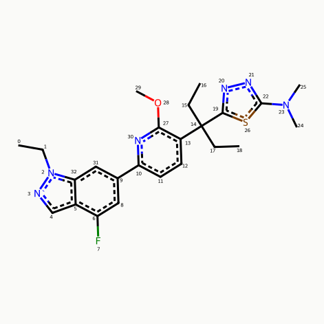 CCn1ncc2c(F)cc(-c3ccc(C(CC)(CC)c4nnc(N(C)C)s4)c(OC)n3)cc21